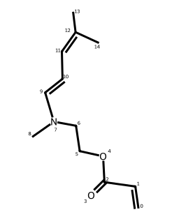 C=CC(=O)OCCN(C)/C=C/C=C(C)C